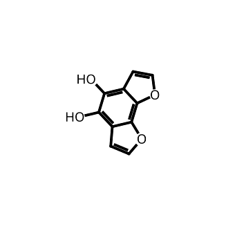 Oc1c(O)c2ccoc2c2occc12